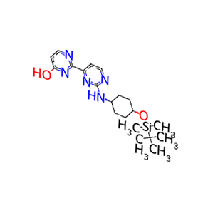 CC(C)(C)[Si](C)(C)O[C@H]1CC[C@@H](Nc2nccc(-c3nccc(O)n3)n2)CC1